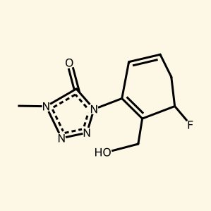 Cn1nnn(C2=C(CO)C(F)CC=C2)c1=O